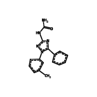 Cc1cccc(-n2nc(NC(N)=O)nc2-c2ccccc2)c1